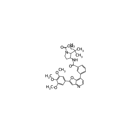 COc1cc(-c2cc3nccc(-c4cccc(C(=O)NC5CCN(C(=O)O)C5C(C)(C)C)c4)c3o2)cc(OC)c1OC